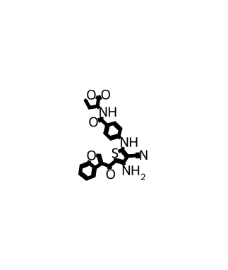 N#Cc1c(Nc2ccc(C(=O)NC3CCOC3=O)cc2)sc(C(=O)c2coc3ccccc23)c1N